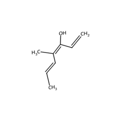 C=C/C(O)=C(C)\C=C\C